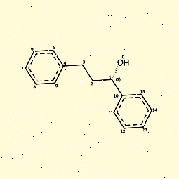 O[C@@H](CCc1ccccc1)c1ccccc1